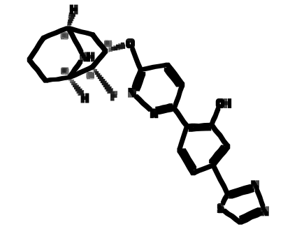 Oc1cc(-c2nncs2)ccc1-c1ccc(O[C@H]2C[C@@H]3CCC[C@@H](N3)[C@H]2F)nn1